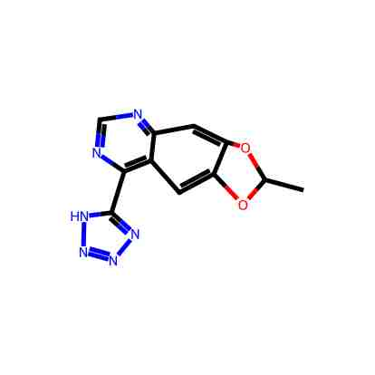 CC1Oc2cc3ncnc(-c4nnn[nH]4)c3cc2O1